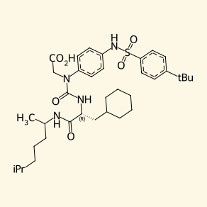 CC(C)CCCC(C)NC(=O)[C@@H](CC1CCCCC1)NC(=O)N(CC(=O)O)c1ccc(NS(=O)(=O)c2ccc(C(C)(C)C)cc2)cc1